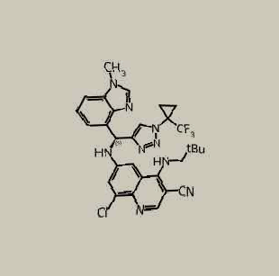 Cn1cnc2c([C@H](Nc3cc(Cl)c4ncc(C#N)c(NCC(C)(C)C)c4c3)c3cn(C4(C(F)(F)F)CC4)nn3)cccc21